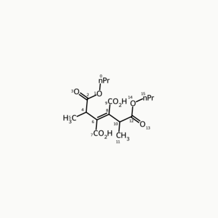 CCCOC(=O)C(C)C(C(=O)O)=C(C(=O)O)C(C)C(=O)OCCC